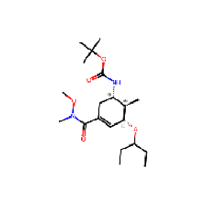 CCC(CC)O[C@@H]1C=C(C(=O)N(C)OC)C[C@H](NC(=O)OC(C)(C)C)[C@H]1C